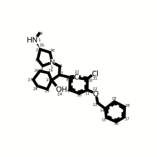 CN[C@H]1CCN(CC(c2ccc(OCc3ccccc3)c(Cl)c2)C2(O)CCCCC2)C1